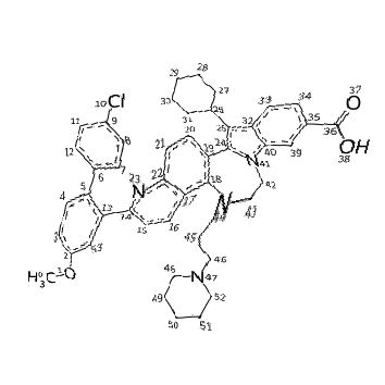 COc1ccc(-c2ccc(Cl)cc2)c(-c2ccc3c4c(ccc3n2)-c2c(C3CCCCC3)c3ccc(C(=O)O)cc3n2CCN4CCN2CCCCC2)c1